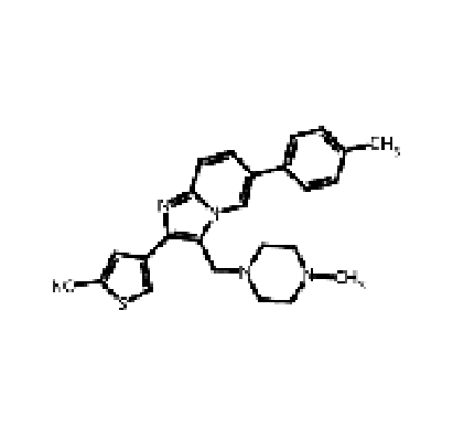 Cc1ccc(-c2ccc3nc(-c4csc(C#N)c4)c(CN4CCN(C)CC4)n3c2)cc1